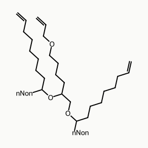 C=CCCCCCCC(CCCCCCCCC)OCC(CCCCOCC=C)OC(CCCCCCC=C)CCCCCCCCC